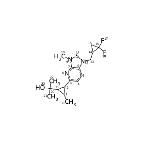 CC1C(c2ccc3c(n2)N(C)SN3CC2CC2(F)F)C1C(C)(C)O